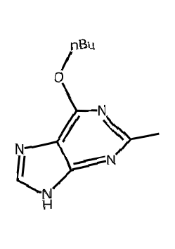 CCCCOc1nc(C)nc2[nH]cnc12